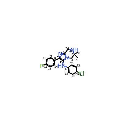 CC1(C)Cn2c(nc(-c3ccc(F)cc3)c2NC2=CCC(Cl)C=C2)CN1